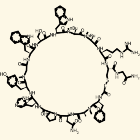 CCCC[C@H]1C(=O)N(C)[C@@H](CCCC)C(=O)N[C@@H](CCCNC(=N)N)C(=O)N[C@H](C(=O)NCC(N)=O)CSCC(=O)N[C@@H](Cc2ccccc2)C(=O)N(C)[C@@H](C)C(=O)N[C@@H](CC(N)=O)C(=O)N2CCC[C@H]2C(=O)N[C@@H](Cc2cnc[nH]2)C(=O)N[C@@H](Cc2ccc(O)cc2)C(=O)N(C)CC(=O)N[C@@H](Cc2c[nH]c3ccccc23)C(=O)N[C@@H](CO)C(=O)N[C@@H](Cc2c[nH]c3ccccc23)C(=O)N1C